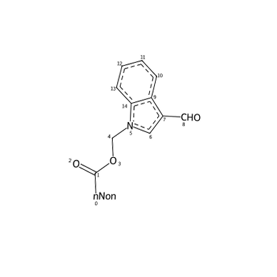 CCCCCCCCCC(=O)OCn1cc(C=O)c2ccccc21